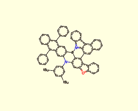 CC(C)(C)c1cc(N2c3cc4c(-c5ccccc5)c5ccccc5c(-c5ccccc5)c4cc3B3c4c2cc2oc5ccccc5c2c4-c2cc4ccccc4c4c5ccccc5n3c24)cc(C(C)(C)C)c1